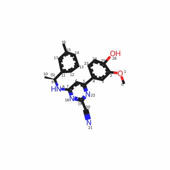 COc1cc(-c2cc(N[C@@H](C)c3cccc(C)c3)nc(C#N)n2)ccc1O